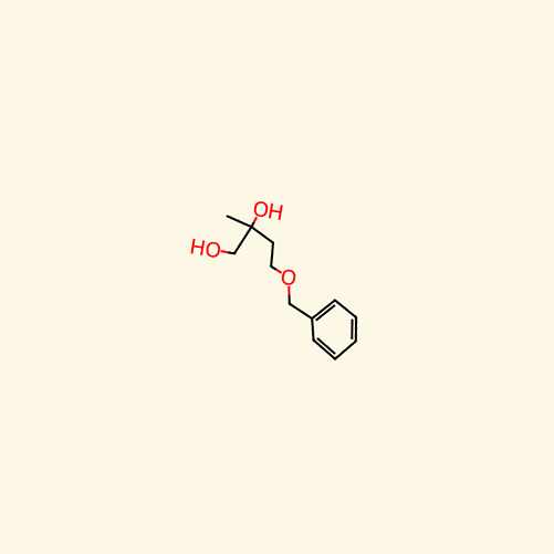 CC(O)(CO)CCOCc1ccccc1